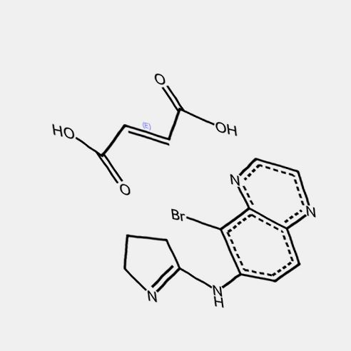 Brc1c(NC2=NCCC2)ccc2nccnc12.O=C(O)/C=C/C(=O)O